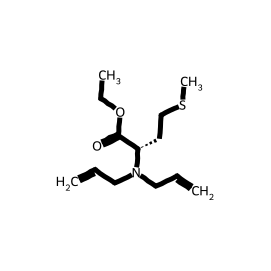 C=CCN(CC=C)[C@@H](CCSC)C(=O)OCC